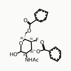 CC(=O)N[C@H]1C(O)O[C@H](COC(=O)c2ccccc2)[C@@H](F)[C@@H]1OC(=O)c1ccccc1